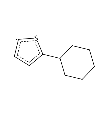 [c]1ccc(C2CCCCC2)s1